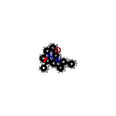 c1ccc(-c2ccc(N(c3ccccc3-c3ccccc3)c3c4c(cc5c3c3cccc(-c6ccccc6)c3n5-c3ccc(-c5ccccc5)cc3)oc3ccccc34)cc2)cc1